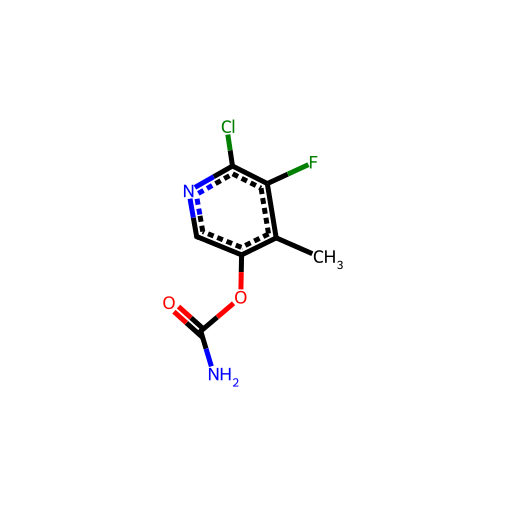 Cc1c(OC(N)=O)cnc(Cl)c1F